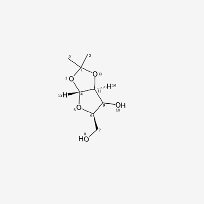 CC1(C)O[C@H]2O[C@H](CO)C(O)[C@@H]2O1